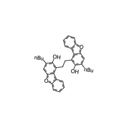 CCCCc1cc2oc3ccccc3c2c(CCc2c(O)c(CCCC)cc3oc4ccccc4c23)c1O